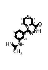 CC(=N)Nc1cccc(C2=NNC(=O)C3CSCCN23)c1